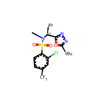 CC(C)[C@@H](c1nnc(C(C)(C)C)o1)N(C)S(=O)(=O)c1ccc(C(F)(F)F)cc1Cl